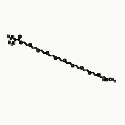 C=C(C)C(=O)OCCOCCOCCOCCOCCOCCOCCOCCOCCOCCNC